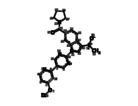 CCOc1ccnc(-c2cnc(-n3cc([S+](C)[O-])c4ccc(C(=O)N5CCCC5)cc43)nc2)c1